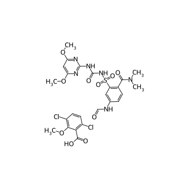 COc1c(Cl)ccc(Cl)c1C(=O)O.COc1cc(OC)nc(NC(=O)NS(=O)(=O)c2cc(NC=O)ccc2C(=O)N(C)C)n1